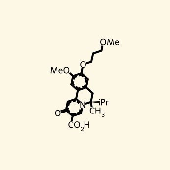 COCCCOc1cc2c(cc1OC)-c1cc(=O)c(C(=O)O)cn1[C@](C)(C(C)C)C2